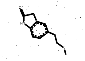 CSCCc1ccc2c(c1)CC(=O)N2